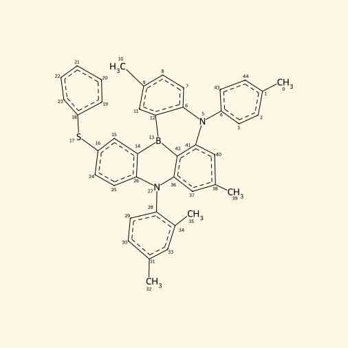 Cc1ccc(N2c3ccc(C)cc3B3c4cc(Sc5ccccc5)ccc4N(c4ccc(C)cc4C)c4cc(C)cc2c43)cc1